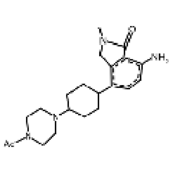 CC(=O)N1CCN(C2CCC(c3ccc(N)c4c3CN(C)C4=O)CC2)CC1